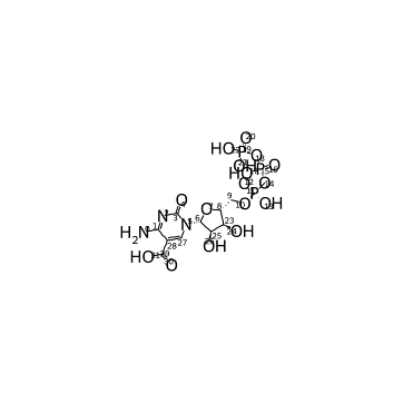 Nc1nc(=O)n([C@@H]2O[C@H](COP(=O)(O)OP(=O)(O)OP(=O)(O)O)[C@@H](O)[C@H]2O)cc1C(=O)O